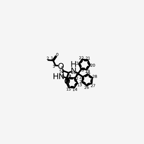 C=C(C)COC1NC(=O)C1NC(c1ccccc1)(c1ccccc1)c1ccccc1